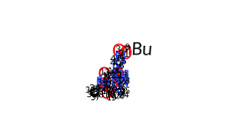 CCCCOC(=O)N1CCN(C(=O)CNC(=O)c2cc(O[C@H](C)C(=O)N3CCCC3c3nnn[nH]3)n(-c3ccccc3)n2)CC1